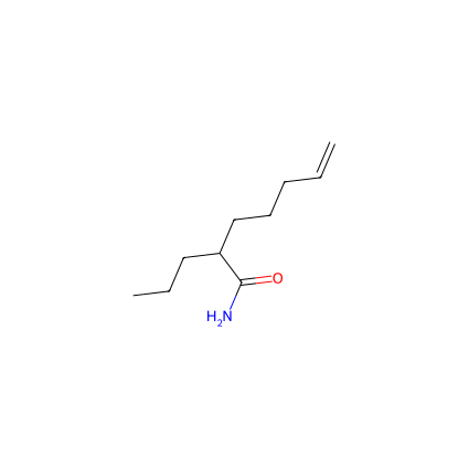 C=CCCCC(CCC)C(N)=O